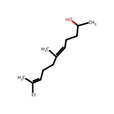 CC/C(C)=C/CC/C(C)=C/CCC(C)O